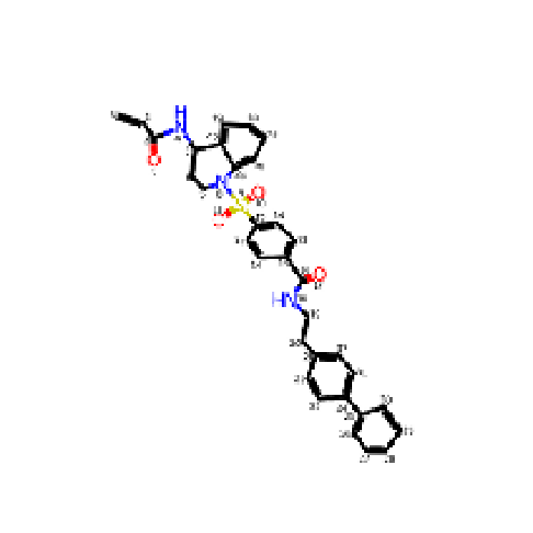 C=CC(=O)NC1CCN(S(=O)(=O)c2ccc(C(=O)NCCc3ccc(-c4ccccc4)cc3)cc2)c2ccccc21